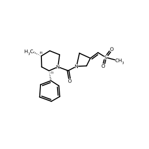 C[C@@H]1CCN(C(=O)N2CC(=CS(C)(=O)=O)C2)[C@H](c2ccccc2)C1